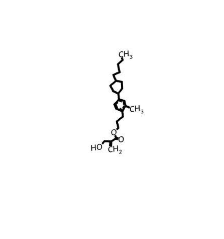 C=C(CO)C(=O)OCCCc1ccc(C2CCC(CCCCC)CC2)cc1C